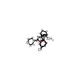 CC1(c2ccc(Cl)cc2)C2CCC(CC2)C12CCC(N1CCOCC1)=N2